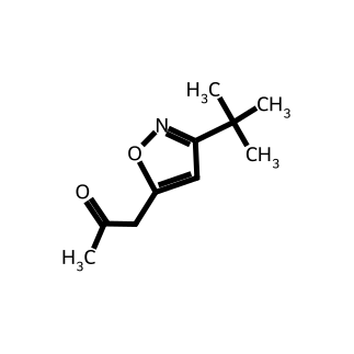 CC(=O)Cc1cc(C(C)(C)C)no1